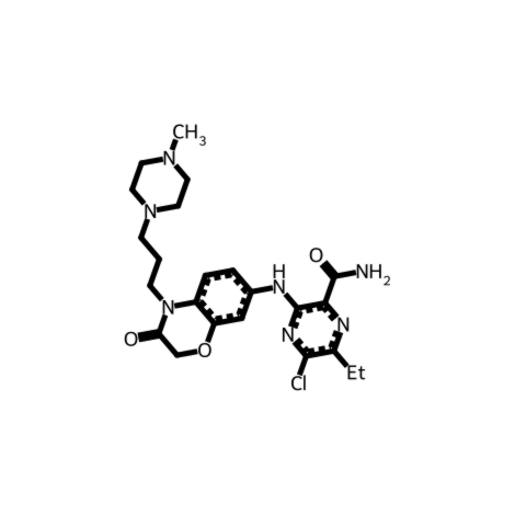 CCc1nc(C(N)=O)c(Nc2ccc3c(c2)OCC(=O)N3CCCN2CCN(C)CC2)nc1Cl